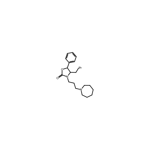 CC(C)CC1C(c2ccccc2)OC(=O)N1CCCN1CCCCCC1